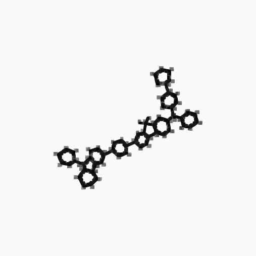 CC1(C)c2cc(-c3ccc(-c4ccc5c(c4)c4ccccc4n5-c4ccccc4)cc3)ccc2-c2ccc(N(c3ccccc3)c3ccc(-c4ccccc4)cc3)cc21